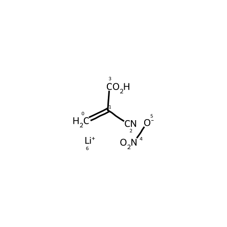 C=C(C#N)C(=O)O.O=[N+]([O-])[O-].[Li+]